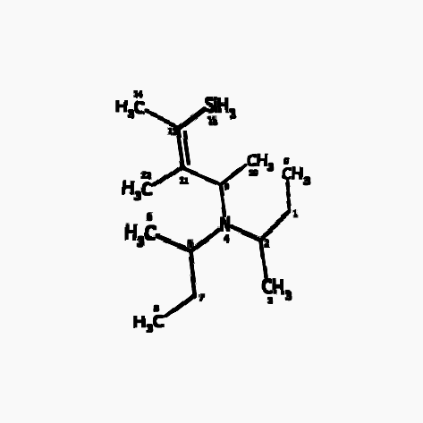 CCC(C)N(C(C)CC)C(C)C(C)=C(C)[SiH3]